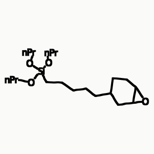 CCCO[Si](CCCCCC1CCC2OC2C1)(OCCC)OCCC